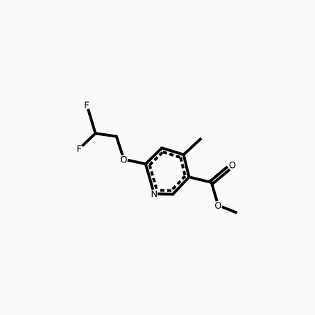 COC(=O)c1cnc(OCC(F)F)cc1C